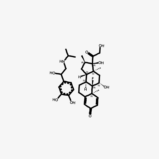 CC(C)NCC(O)c1ccc(O)c(O)c1.C[C@@H]1C[C@H]2[C@@H]3CCC4=CC(=O)C=C[C@]4(C)[C@@]3(F)[C@@H](O)C[C@]2(C)[C@@]1(O)C(=O)CO